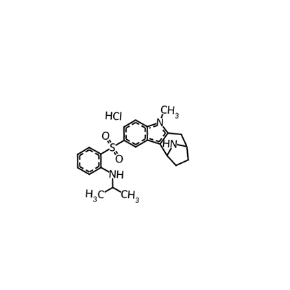 CC(C)Nc1ccccc1S(=O)(=O)c1ccc2c(c1)c1c(n2C)CC2CCC1N2.Cl